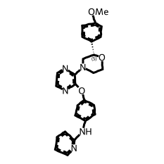 COc1ccc([C@H]2CN(c3nccnc3Oc3ccc(Nc4ccccn4)cc3)CCO2)cc1